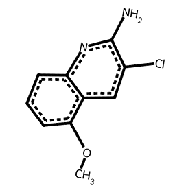 COc1cccc2nc(N)c(Cl)cc12